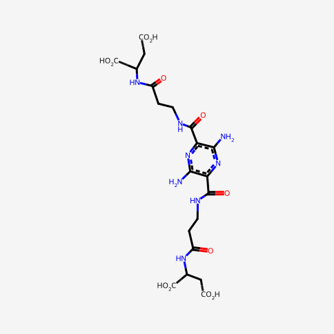 Nc1nc(C(=O)NCCC(=O)NC(CC(=O)O)C(=O)O)c(N)nc1C(=O)NCCC(=O)NC(CC(=O)O)C(=O)O